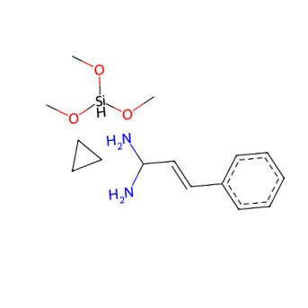 C1CC1.CO[SiH](OC)OC.NC(N)C=Cc1ccccc1